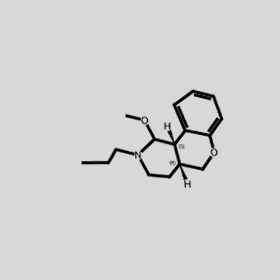 CCCN1CC[C@H]2COc3ccccc3[C@H]2C1OC